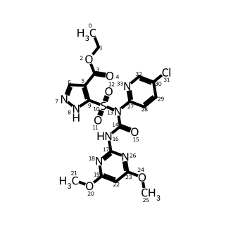 CCOC(=O)c1cn[nH]c1S(=O)(=O)N(C(=O)Nc1nc(OC)cc(OC)n1)c1ccc(Cl)cn1